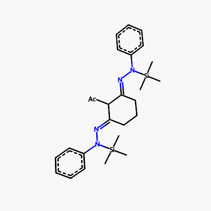 CC(=O)C1/C(=N/N(c2ccccc2)[Si](C)(C)C)CCC/C1=N\N(c1ccccc1)[Si](C)(C)C